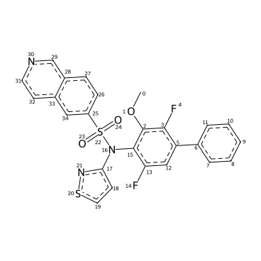 COc1c(F)c(-c2ccccc2)cc(F)c1N(c1ccsn1)S(=O)(=O)c1ccc2cnccc2c1